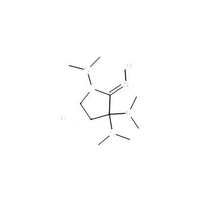 CN(C)P1CCC(N(C)C)(N(C)C)C1=NP.Cl